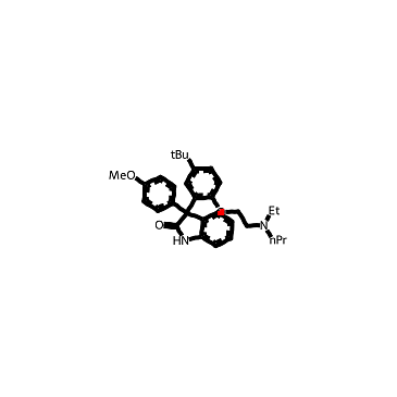 CCCN(CC)CCOc1ccc(C(C)(C)C)cc1C1(c2ccc(OC)cc2)C(=O)Nc2ccccc21